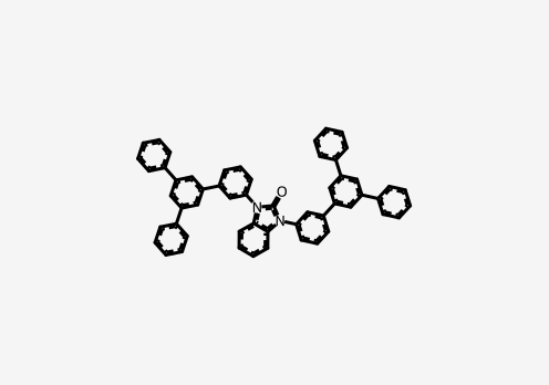 O=c1n(-c2cccc(-c3cc(-c4ccccc4)cc(-c4ccccc4)c3)c2)c2ccccc2n1-c1cccc(-c2cc(-c3ccccc3)cc(-c3ccccc3)c2)c1